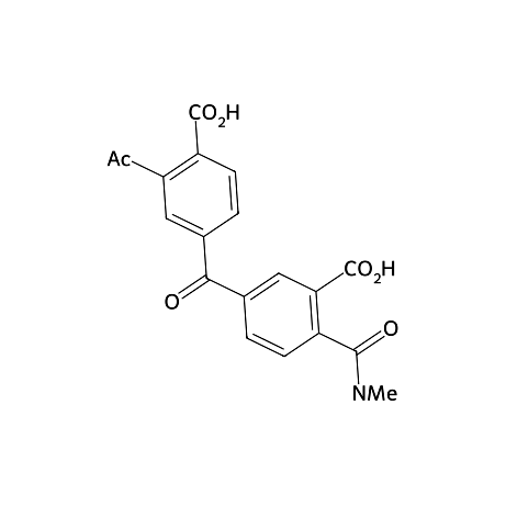 CNC(=O)c1ccc(C(=O)c2ccc(C(=O)O)c(C(C)=O)c2)cc1C(=O)O